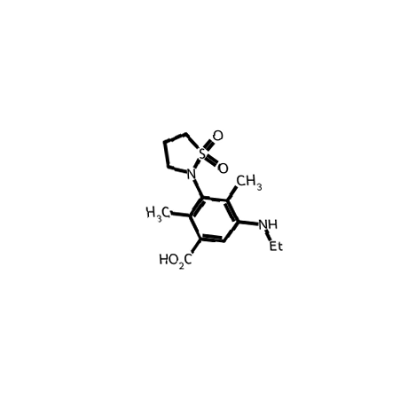 CCNc1cc(C(=O)O)c(C)c(N2CCCS2(=O)=O)c1C